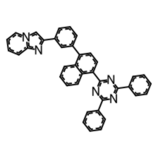 c1ccc(-c2nc(-c3ccccc3)nc(-c3ccc(-c4cccc(-c5cn6ccccc6n5)c4)c4ccccc34)n2)cc1